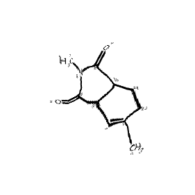 CC1=CC2C(=O)N(C)C(=O)C2CC1